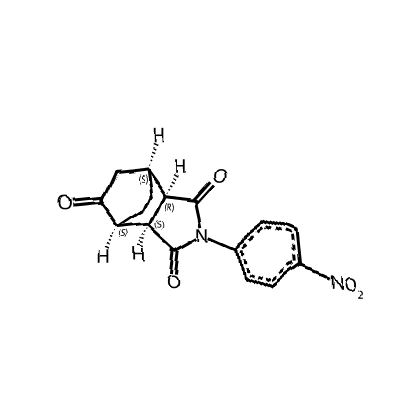 O=C1C[C@@H]2CC[C@H]1[C@@H]1C(=O)N(c3ccc([N+](=O)[O-])cc3)C(=O)[C@H]21